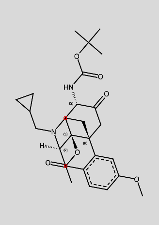 COc1ccc2c(c1)[C@]13CCN(CC4CC4)[C@H](C2)[C@]1(OC(C)=O)C[C@H](NC(=O)OC(C)(C)C)C(=O)C3